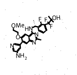 COCCOc1cc2c(N[C@H](C)c3cccc(C(F)(F)C(C)(C)O)c3F)nc(C)nc2cc1-c1cncc(N)c1